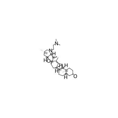 CC1=C2C[C@H]3[C@@H](CC[C@@H]4CC(=O)CC[C@@]43C)[C@@H]2CC[C@]12O[C@@H]1C[C@H](C)CN(CCN(C)C)[C@H]1[C@H]2C